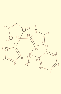 O=P1(c2ccccc2)c2ccsc2C2(OCCO2)c2sccc21